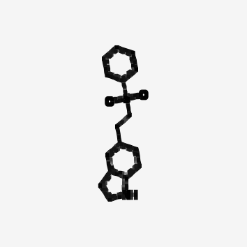 O=S(=O)(CCc1ccc2[nH]ccc2c1)c1ccccc1